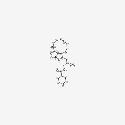 CCn1nc(C[C@@H](C)COC(=O)C2CCOCC2)c2c1C(=O)NCCCOCCC2